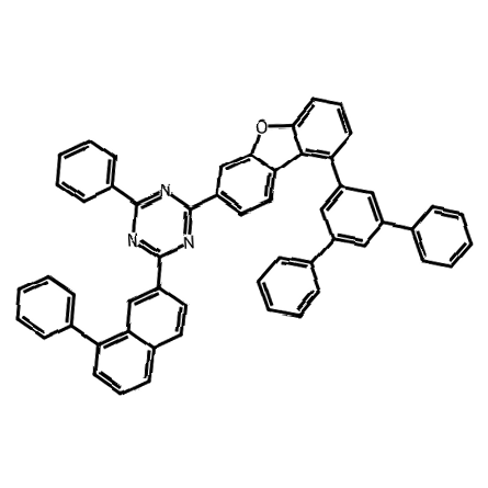 c1ccc(-c2cc(-c3ccccc3)cc(-c3cccc4oc5cc(-c6nc(-c7ccccc7)nc(-c7ccc8cccc(-c9ccccc9)c8c7)n6)ccc5c34)c2)cc1